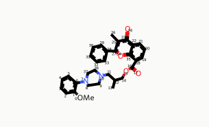 COc1ccccc1N1CCN(CC(C)COC(=O)c2cccc3c(=O)c(C)c(-c4ccccc4)oc23)CC1